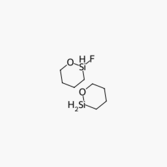 C1CC[SiH2]OC1.F[SiH]1CCCCO1